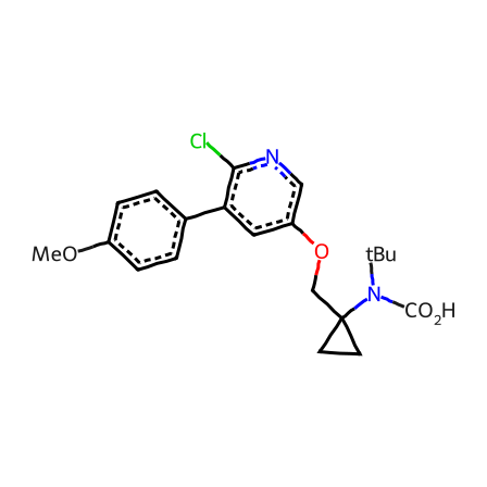 COc1ccc(-c2cc(OCC3(N(C(=O)O)C(C)(C)C)CC3)cnc2Cl)cc1